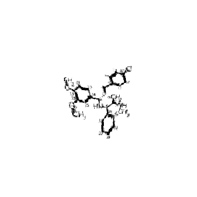 C=C(NC)[C@H](N[C@@H](CCc1ccc(Cl)cc1)c1ccc(OC)c(OC)c1)c1ccccc1